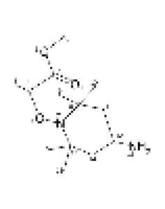 COC(=O)C(C)ON1C(C)(C)CC(N)CC1(C)C